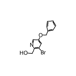 OCc1ncc(OCc2ccccc2)cc1Br